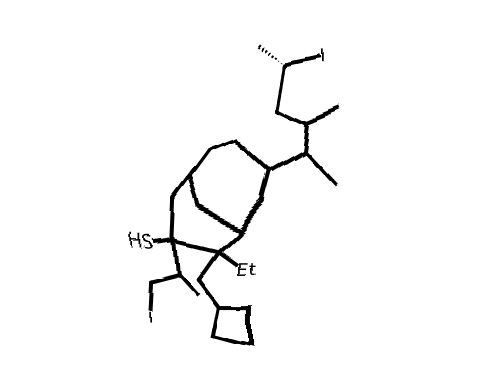 CCC1(CC2CCC2)C2CC(CCC(C(C)C(C)C[C@H](C)I)C2)CC1(S)C(C)CI